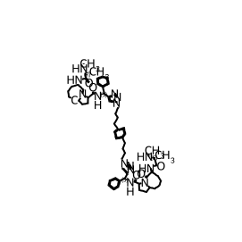 CN[C@@H](C)C(=O)NC1CCCCC2CCC(C(=O)N[C@@H](c3ccccc3)c3cn(CCCCc4ccc(CCCCn5cc([C@@H](NC(=O)C6CCC7CCCCC(NC(=O)[C@@H](C)NC)CN76)c6ccccc6)nn5)cc4)nn3)N2C1=O